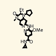 CC[C@@H]1C(=O)N(C)c2cnc(Nc3ncc(C(=O)NC4CC4)cc3OC)cc2N1C1CCCC1